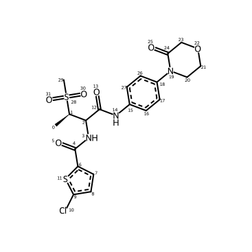 C[C@H](C(NC(=O)c1ccc(Cl)s1)C(=O)Nc1ccc(N2CCOCC2=O)cc1)S(C)(=O)=O